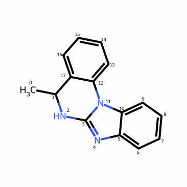 CC1Nc2nc3ccccc3n2-c2ccccc21